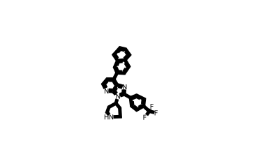 FC(F)(F)c1ccc(-c2nc3c(-c4ccc5ccccc5c4)ccnc3n2C2CCNCC2)cc1